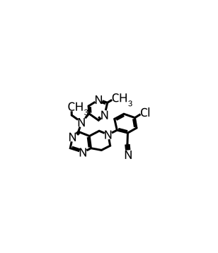 CCN(c1cnc(C)nc1)c1ncnc2c1CN(c1ccc(Cl)cc1C#N)CC2